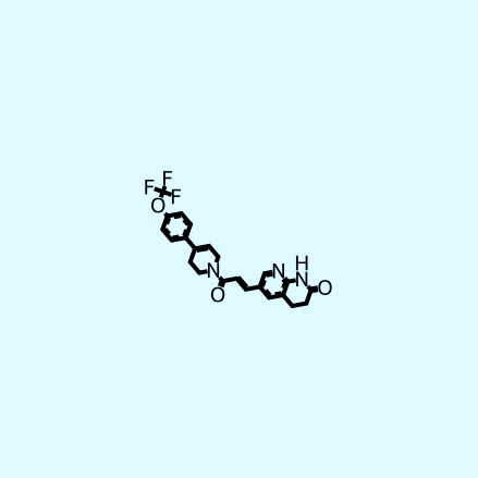 O=C1CCc2cc(C=CC(=O)N3CC=C(c4ccc(OC(F)(F)F)cc4)CC3)cnc2N1